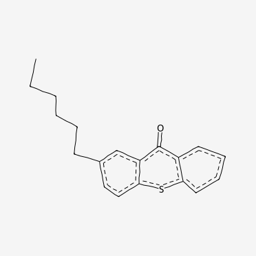 CCCCCCc1ccc2sc3ccccc3c(=O)c2c1